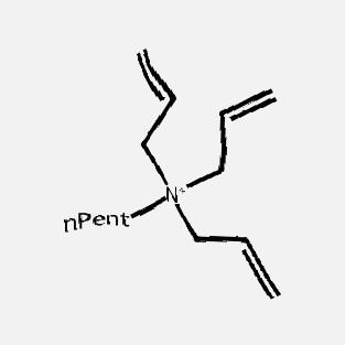 C=CC[N+](CC=C)(CC=C)CCCCC